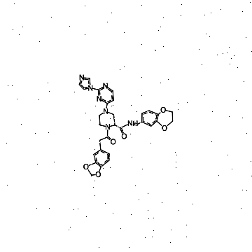 O=C(NCc1ccc2c(c1)OCCO2)C1CN(c2ccnc(-n3ccnc3)n2)CCN1C(=O)Cc1ccc2c(c1)OCO2